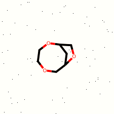 C1COC2COC(CO1)C2